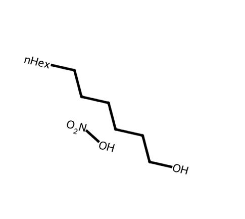 CCCCCCCCCCCCO.O=[N+]([O-])O